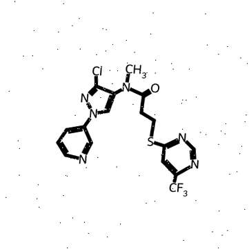 CN(C(=O)CCSc1cc(C(F)(F)F)ncn1)c1cn(-c2cccnc2)nc1Cl